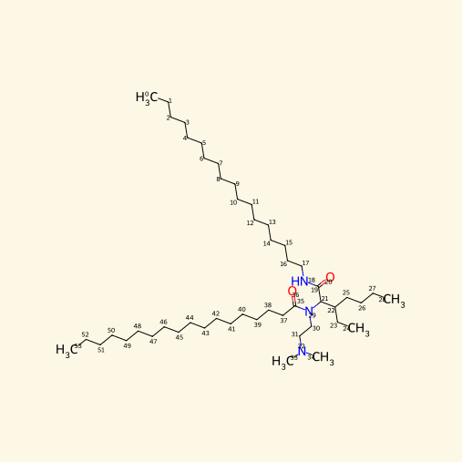 CCCCCCCCCCCCCCCCCCNC(=O)C(C(CC)CCCC)N(CCN(C)C)C(=O)CCCCCCCCCCCCCCCCC